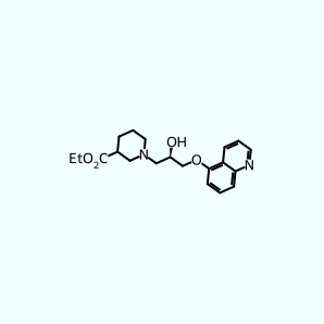 CCOC(=O)C1CCCN(C[C@@H](O)COc2cccc3ncccc23)C1